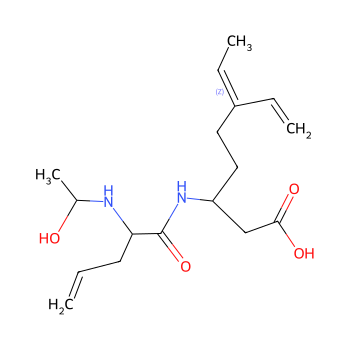 C=CCC(NC(C)O)C(=O)NC(CC/C(C=C)=C/C)CC(=O)O